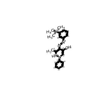 CC1=C(N=Nc2cccc([N+](C)(C)C)c2)C(O)=CN(c2ccccc2)N1